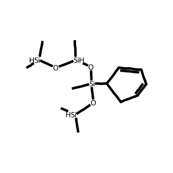 C[SiH](C)O[SiH](C)O[Si](C)(O[SiH](C)C)C1C=CC=CC1